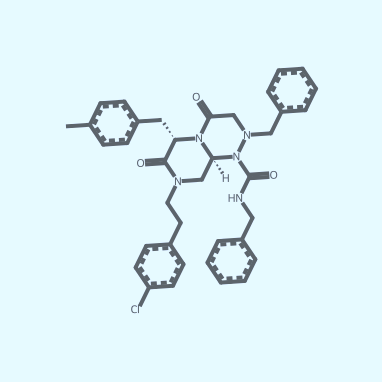 Cc1ccc(C[C@H]2C(=O)N(CCc3ccc(Cl)cc3)C[C@H]3N2C(=O)CN(Cc2ccccc2)N3C(=O)NCc2ccccc2)cc1